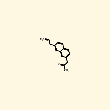 C=CCc1ccc2ccc(CC(C)=O)cc2c1